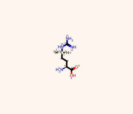 [2H][13C]([2H])(CC[C@H](N)C(=O)O)NC(=N)N